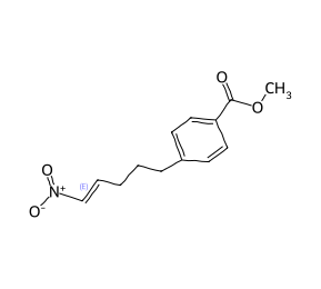 COC(=O)c1ccc(CCC/C=C/[N+](=O)[O-])cc1